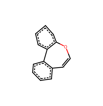 [C]1=COc2ccccc2-c2ccccc21